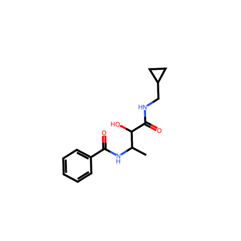 CC(NC(=O)c1ccccc1)C(O)C(=O)NCC1CC1